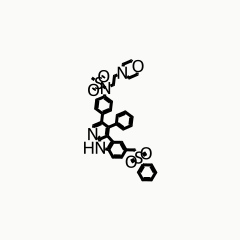 CS(=O)(=O)N(CCN1CCOCC1)c1ccc(-c2cnc3[nH]c4ccc(CS(=O)(=O)c5ccccc5)cc4c3c2-c2ccccc2)cc1